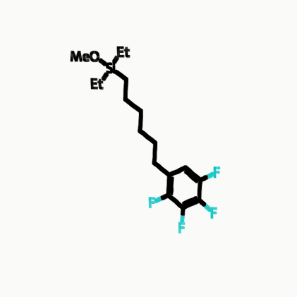 CC[Si](CC)(CCCCCCc1cc(F)c(F)c(F)c1F)OC